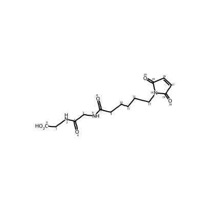 O=C(O)CNC(=O)CNC(=O)CCCCCN1C(=O)C=CC1=O